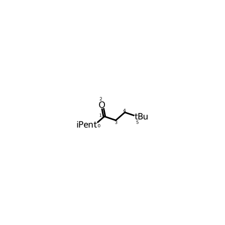 CCCC(C)C(=O)CCC(C)(C)C